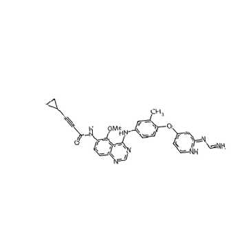 COc1c(NC(=O)C#CC2CC2)ccc2ncnc(Nc3ccc(Oc4cc[nH]/c(=N\C=N)c4)c(C)c3)c12